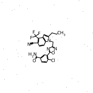 CCCc1cc2c(C(F)(F)F)c(C#N)ccc2n1Cc1noc(-c2cc(C(N)=O)ccc2Cl)n1